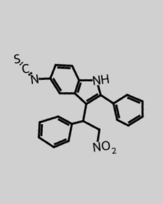 O=[N+]([O-])CC(c1ccccc1)c1c(-c2ccccc2)[nH]c2ccc(N=C=S)cc12